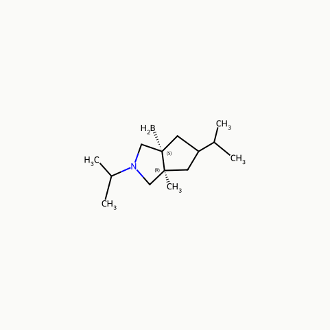 B[C@]12CC(C(C)C)C[C@@]1(C)CN(C(C)C)C2